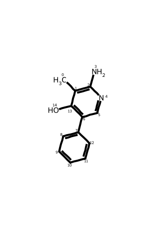 Cc1c(N)ncc(-c2ccccc2)c1O